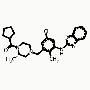 Cc1c(CN2CCN(C(=O)C3CCCC3)[C@@H](C)C2)cc(Cl)cc1Nc1nc2ccccc2o1